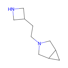 C(CN1CC2CC2C1)C1CNC1